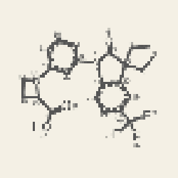 CCC1(CC)C(=O)N(c2cccc(N3CCC3C(=O)O)c2)c2ccc(C(F)(F)F)cc21